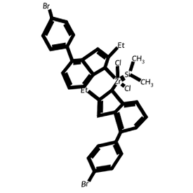 CCC1=Cc2c(-c3ccc(Br)cc3)cccc2[CH]1[Zr]([Cl])([Cl])([CH]1C(CC)=Cc2c(-c3ccc(Br)cc3)cccc21)=[Si](C)C